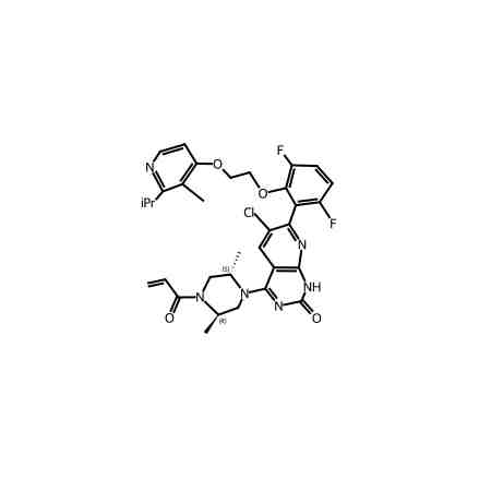 C=CC(=O)N1C[C@H](C)N(c2nc(=O)[nH]c3nc(-c4c(F)ccc(F)c4OCCOc4ccnc(C(C)C)c4C)c(Cl)cc23)C[C@H]1C